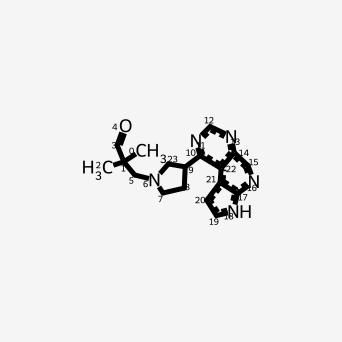 CC(C)(C=O)CN1CCC(c2ncnc3cnc4[nH]ccc4c23)C1